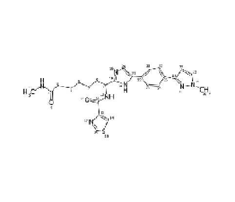 CNC(=O)CCCCCC(NC(=O)c1cscn1)c1ncc(-c2ccc(-c3ccn(C)n3)cc2)[nH]1